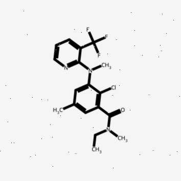 CCN(C)C(=O)c1cc(C)cc(N(C)c2ncccc2C(F)(F)F)c1Cl